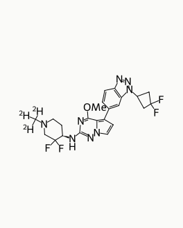 [2H]C([2H])([2H])N1CC[C@@H](Nc2nc(OC)c3c(-c4ccc5nnn(C6CC(F)(F)C6)c5c4)ccn3n2)C(F)(F)C1